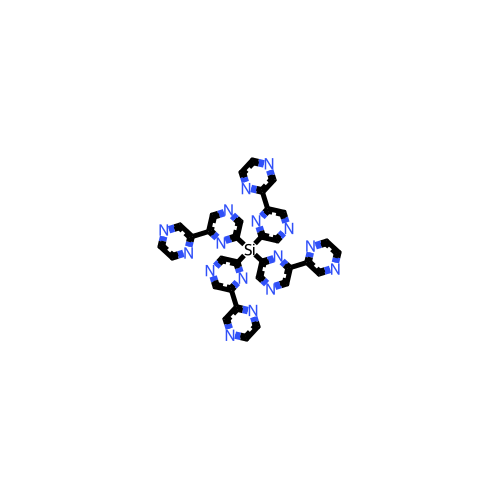 c1cnc(-c2cncc([Si](c3cncc(-c4cnccn4)n3)(c3cncc(-c4cnccn4)n3)c3cncc(-c4cnccn4)n3)n2)cn1